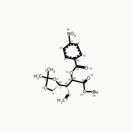 C=C[C@H]([C@@H]1COC(C)(C)O1)[C@@H](OC(=O)c1ccc([N+](=O)[O-])cc1)C(=O)OC(C)(C)C